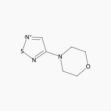 C1=[N+]SN=C1N1CCOCC1